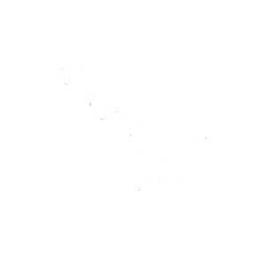 CCc1sc(C(=O)O)c(-c2ccc(-c3ccc(-c4nnn(C)n4)cc3)cc2)c1C#N